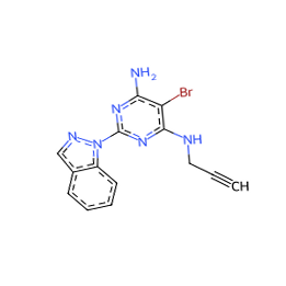 C#CCNc1nc(-n2ncc3ccccc32)nc(N)c1Br